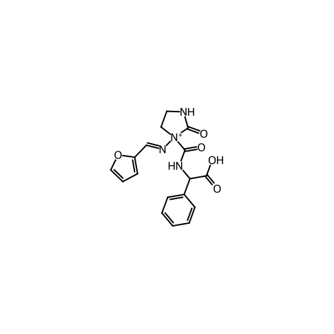 O=C(O)C(NC(=O)[N+]1(N=Cc2ccco2)CCNC1=O)c1ccccc1